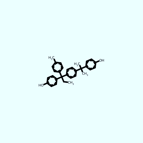 CCC(c1ccc(C)cc1)(c1ccc(O)cc1)c1ccc(C(C)(C)c2ccc(O)cc2)cc1